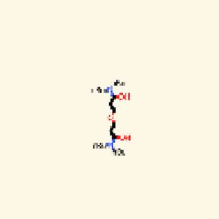 CCCCN(CCCC)C(O)CCOCCC(O)N(CCCC)CCCC